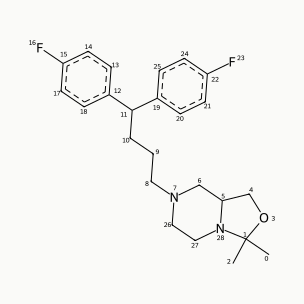 CC1(C)OCC2CN(CCCC(c3ccc(F)cc3)c3ccc(F)cc3)CCN21